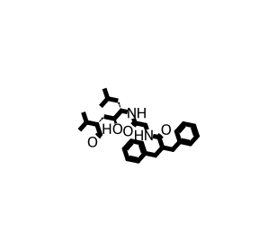 CC(C)C[C@H](NC(=O)CNC(=O)C(Cc1ccccc1)Cc1ccccc1)[C@@H](O)C[C@H]([C]=O)C(C)C